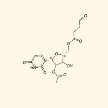 CC(=O)OC1C(O)[C@@H](COC(=O)CCC=O)O[C@H]1n1ccc(=O)[nH]c1=O